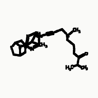 CC(C)C(=O)CCCN(C)CC#Cc1cnc(N2C3CSC2CN(C(C)C)C3)nc1